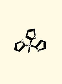 F[PH](c1cccs1)(c1cccs1)c1cccs1